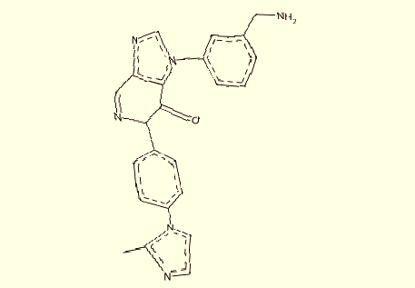 Cc1nccn1-c1ccc(C2N=Cc3ncn(-c4cccc(CN)c4)c3C2=O)cc1